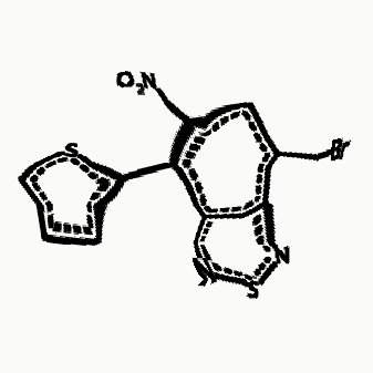 O=[N+]([O-])c1cc(Br)c2nsnc2c1-c1cccs1